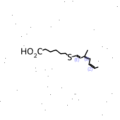 C\C=C/C=C(C)\C=C\SCCCCCC(=O)O